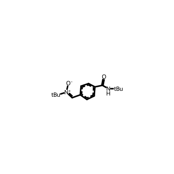 CC(C)(C)NC(=O)c1ccc(C=[N+]([O-])C(C)(C)C)cc1